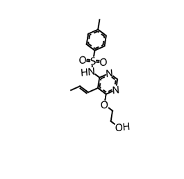 C/C=C/c1c(NS(=O)(=O)c2ccc(C)cc2)ncnc1OCCO